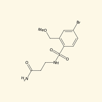 COCc1cc(Br)ccc1S(=O)(=O)NCCC(N)=O